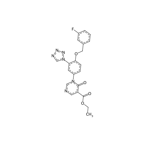 CCOC(=O)c1cncn(-c2ccc(OCc3cccc(F)c3)c(-n3cnnn3)c2)c1=O